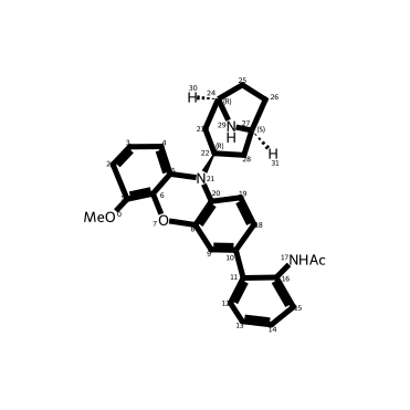 COc1cccc2c1Oc1cc(-c3ccccc3NC(C)=O)ccc1N2[C@H]1C[C@H]2CC[C@@H](C1)N2